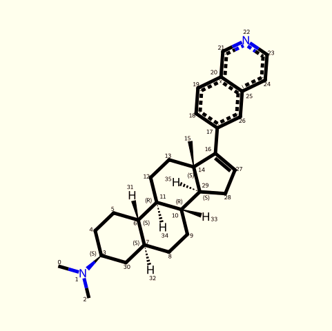 CN(C)[C@H]1CC[C@H]2[C@@H](CC[C@@H]3[C@@H]2CC[C@]2(C)C(c4ccc5cnccc5c4)=CC[C@@H]32)C1